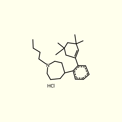 CCCCN1CCCC(c2ccccc2C2=CC(C)(C)CC(C)(C)C2)CC1.Cl